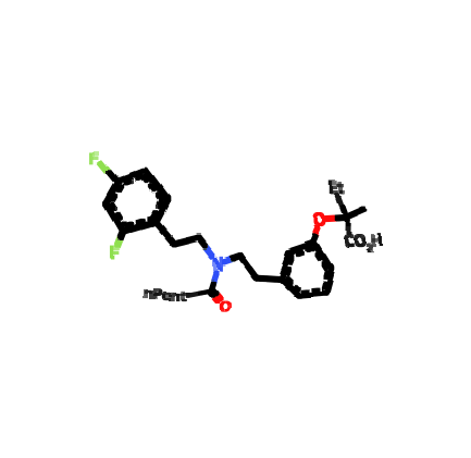 CCCCCC(=O)N(CCc1cccc(OC(C)(CC)C(=O)O)c1)CCc1ccc(F)cc1F